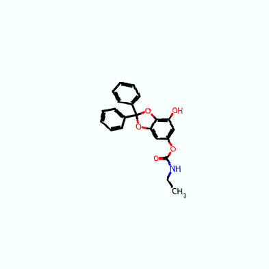 CCNC(=O)Oc1cc(O)c2c(c1)OC(c1ccccc1)(c1ccccc1)O2